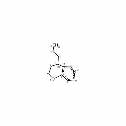 CCC[C@H]1CCOc2ccncc21